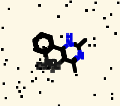 CCOC(=O)C1=C(c2ccccc2[N+](=O)[O-])NC(C)N=C1C